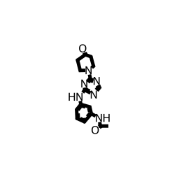 CC(=O)Nc1cccc(Nc2ncnc(N3CCC(=O)CC3)n2)c1